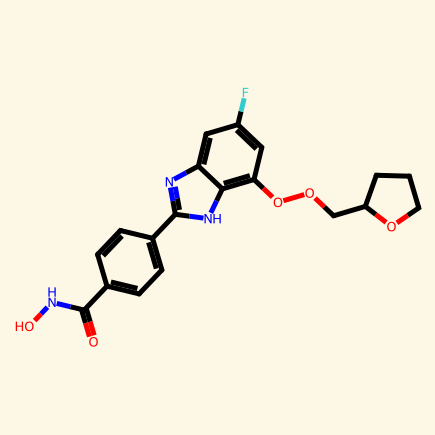 O=C(NO)c1ccc(-c2nc3cc(F)cc(OOCC4CCCO4)c3[nH]2)cc1